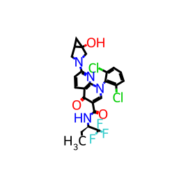 CC[C@@H](NC(=O)c1cn(-c2c(Cl)cccc2Cl)c2nc(N3CC4CC4(O)C3)ccc2c1=O)C(F)(F)F